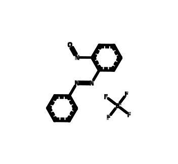 F[B-](F)(F)F.O=Nc1ccccc1/N=N/c1ccccc1